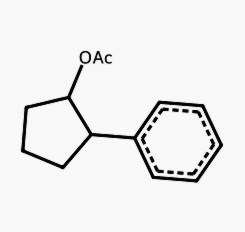 CC(=O)OC1CCCC1c1ccccc1